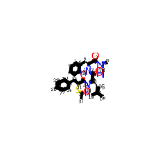 CNC(=O)[C@H](Cc1ccccc1)NC(=O)[C@H](CC(C)C)NC(=O)C(Cc1ccccc1)SC(C)=O